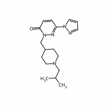 CC(C)CN1CCC(Cn2nc(-n3cccn3)ccc2=O)CC1